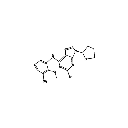 COc1c(O)cccc1Nc1nc(Br)nc2c1ncn2C1CCCO1